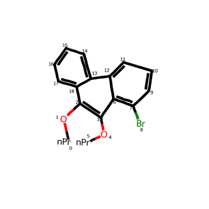 CCCOc1c(OCCC)c2c(Br)cccc2c2ccccc12